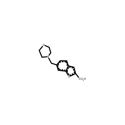 O=C(O)c1cc2ccc(CN3CCOCC3)cc2s1